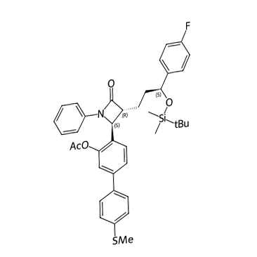 CSc1ccc(-c2ccc([C@@H]3[C@@H](CC[C@H](O[Si](C)(C)C(C)(C)C)c4ccc(F)cc4)C(=O)N3c3ccccc3)c(OC(C)=O)c2)cc1